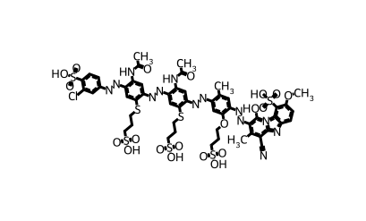 COc1ccc2nc3c(C#N)c(C)c(N=Nc4cc(C)c(N=Nc5cc(NC(C)=O)c(N=Nc6cc(NC(C)=O)c(N=Nc7ccc(S(=O)(=O)O)c(Cl)c7)cc6SCCCS(=O)(=O)O)cc5SCCCS(=O)(=O)O)cc4OCCCS(=O)(=O)O)c(O)n3c2c1S(=O)(=O)O